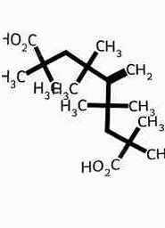 C=C(C(C)(C)CC(C)(C)C(=O)O)C(C)(C)CC(C)(C)C(=O)O